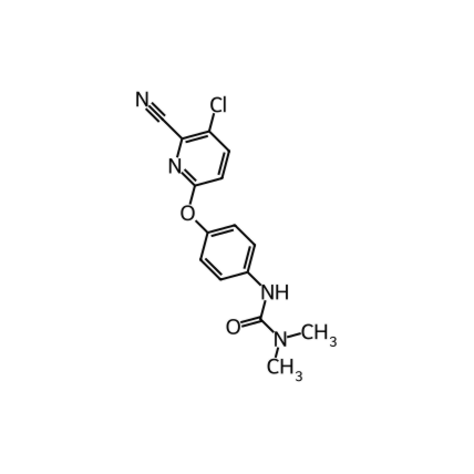 CN(C)C(=O)Nc1ccc(Oc2ccc(Cl)c(C#N)n2)cc1